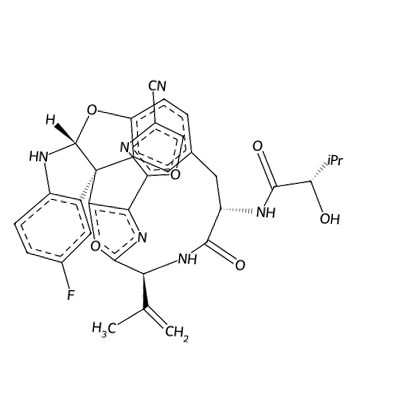 C=C(C)[C@@H]1NC(=O)[C@@H](NC(=O)[C@@H](O)C(C)C)Cc2ccc3c(c2)[C@@]2(c4cc(F)ccc4N[C@@H]2O3)c2oc1nc2-c1nc(C#N)co1